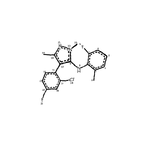 Cc1cccc(F)c1Nc1c(-c2ccc(F)cc2Cl)c(C)nn1C